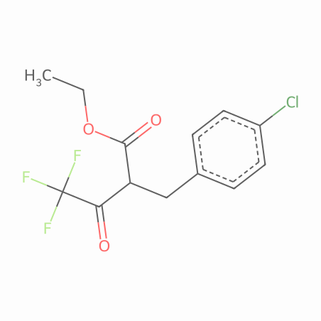 CCOC(=O)C(Cc1ccc(Cl)cc1)C(=O)C(F)(F)F